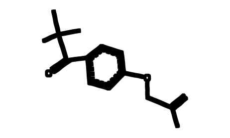 C=C(C)COc1ccc(C(=O)C(C)(C)C)cc1